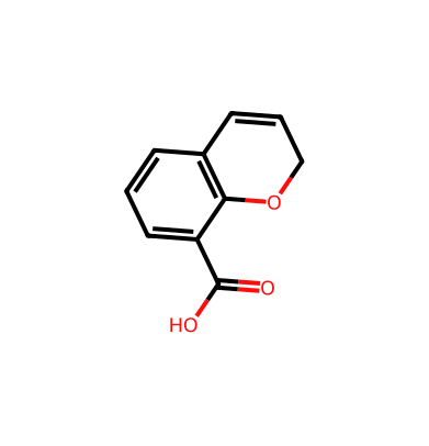 O=C(O)c1cccc2c1OCC=C2